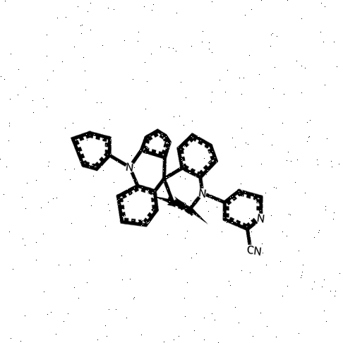 N#Cc1cc(N2c3ccccc3C3(c4ccccc4N(c4ccccc4)c4ccccc43)c3ccccc32)ccn1